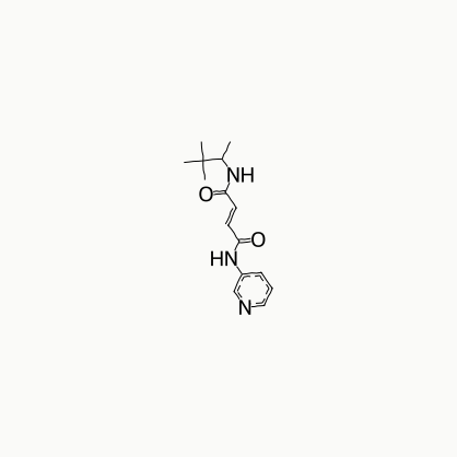 CC(NC(=O)C=CC(=O)Nc1cccnc1)C(C)(C)C